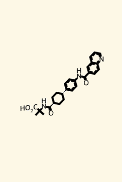 CC(C)(NC(=O)[C@H]1CC[C@H](c2ccc(NC(=O)c3ccc4ncccc4c3)cc2)CC1)C(=O)O